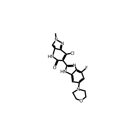 Cn1cc2[nH]c(=O)c(-c3nc4c(F)cc(N5CCOCC5)cc4[nH]3)c(Cl)c2n1